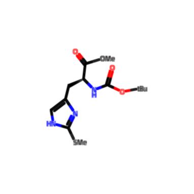 COC(=O)[C@H](Cc1c[nH]c(SC)n1)NC(=O)OC(C)(C)C